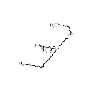 CCCCC/C=C\C/C=C\CCCCCCCCC(CCCCCCCC/C=C\CCCCCCC)OC(=O)/C=C/CN(C)C